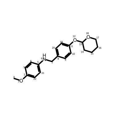 COc1ccc(NCc2ccc(OC3CCCCO3)cc2)cc1